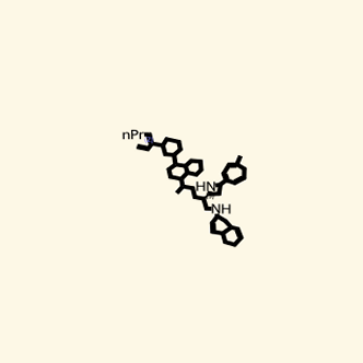 C=C/C(=C\CCC)C1CCCC(C2CCC(C(C)CCC(CNC3C=CC4CCC=CC4C3)[C@@H]3CC(C4=CC=C(C)CC=C4)N3)C3CCCCC23)C1